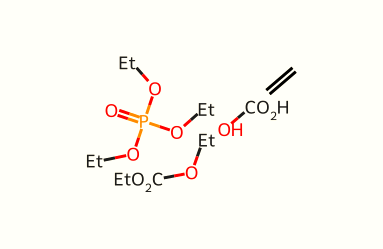 C=C.CCOC(=O)OCC.CCOP(=O)(OCC)OCC.O=C(O)O